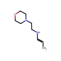 CC=CNCCN1CCOCC1